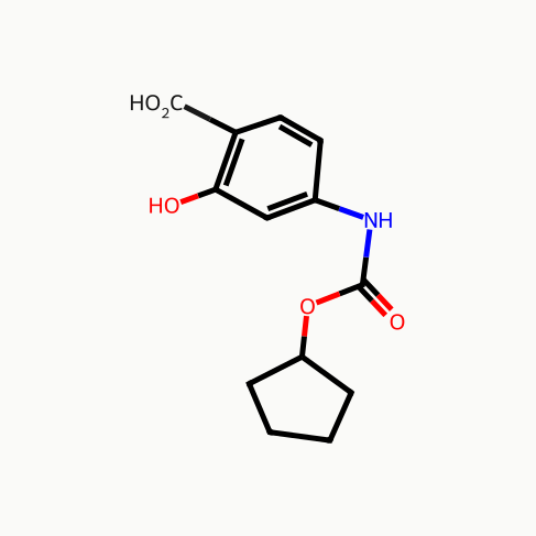 O=C(Nc1ccc(C(=O)O)c(O)c1)OC1CCCC1